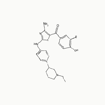 CCN1CCCC(c2ccc(Nc3nc(N)c(C(=O)c4ccc(O)c(F)c4)s3)cc2)C1